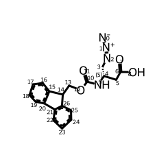 [N-]=[N+]=NC[C@H](CC(=O)O)NC(=O)OCC1c2ccccc2-c2ccccc21